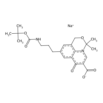 CC(C)(C)OC(=O)NCCCc1cc2c3c(c1)c(=O)c(C(=O)[O-])cn3C(C)(C)OC2.[Na+]